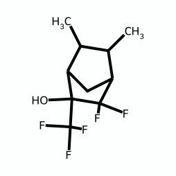 CC1C(C)C2CC1C(F)(F)C2(O)C(F)(F)F